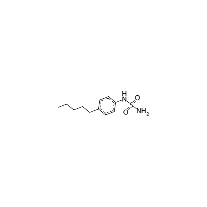 CCCCCc1ccc(NS(N)(=O)=O)cc1